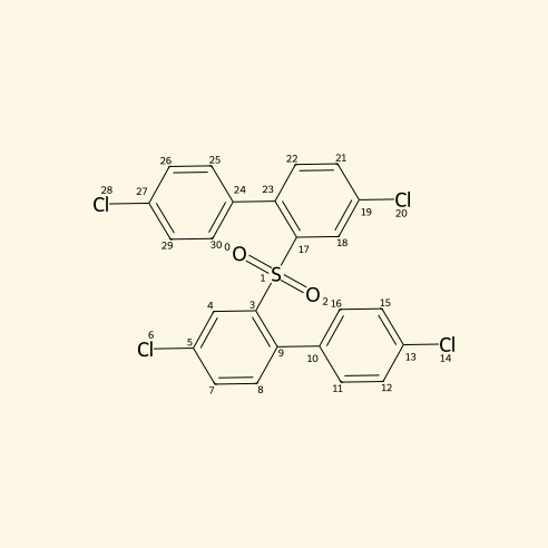 O=S(=O)(c1cc(Cl)ccc1-c1ccc(Cl)cc1)c1cc(Cl)ccc1-c1ccc(Cl)cc1